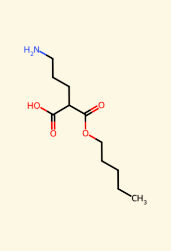 CCCCCOC(=O)C(CCCN)C(=O)O